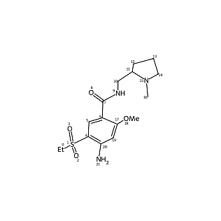 CCS(=O)(=O)c1cc(C(=O)NCC2CCCN2C)c(OC)cc1N